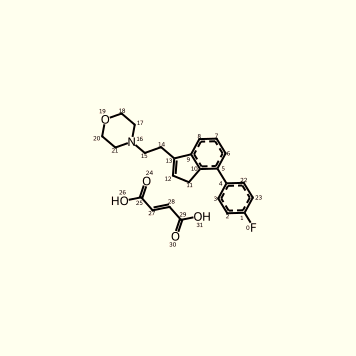 Fc1ccc(-c2cccc3c2CC=C3CCN2CCOCC2)cc1.O=C(O)C=CC(=O)O